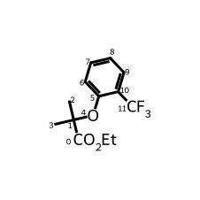 CCOC(=O)C(C)(C)Oc1ccccc1C(F)(F)F